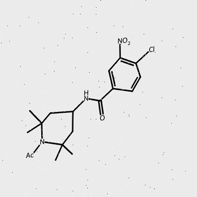 CC(=O)N1C(C)(C)CC(NC(=O)c2ccc(Cl)c([N+](=O)[O-])c2)CC1(C)C